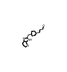 O=C/C=C/c1ccc(Cc2nc3cccnc3[nH]2)cc1